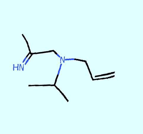 C=CCN(CC(C)=N)C(C)C